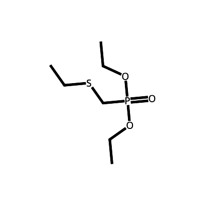 CCOP(=O)(CSCC)OCC